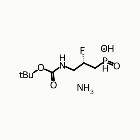 CC(C)(C)OC(=O)NC[C@H](F)C[PH](=O)O.N